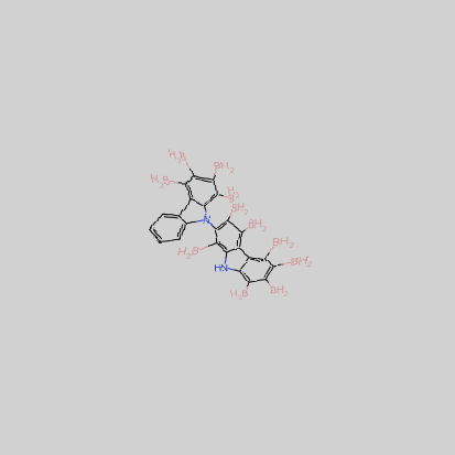 Bc1c(B)c(B)c2c([nH]c3c(B)c(-n4c5ccccc5c5c(B)c(B)c(B)c(B)c54)c(B)c(B)c32)c1B